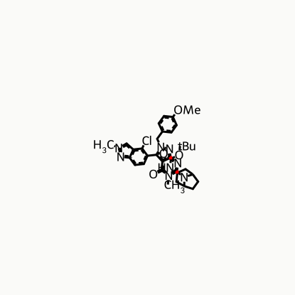 COc1ccc(Cn2nc3nc(N4C5CCC4CC(NC(=O)OC(C)(C)C)C5)n(C)c(=O)c3c2-c2ccc3nn(C)cc3c2Cl)cc1